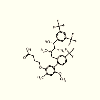 COc1cc(C)c(OCCCC(=O)O)cc1-c1ccc(C(F)(F)F)cc1CN(C)[C@@H](C)[C@H](O)c1cc(C(F)(F)F)cc(C(F)(F)F)c1